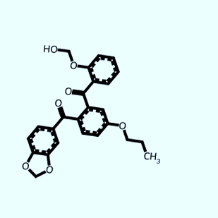 CCCOc1ccc(C(=O)c2ccc3c(c2)OCO3)c(C(=O)c2ccccc2OCO)c1